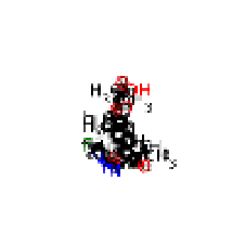 CC(C)C1=C2C3CC[C@@H]4C5(C)CC[C@H](OC(=O)CC(C)(C)C(=O)O)C(C)(C)[C@@H]5CC[C@@]4(C)[C@]3(C)CC[C@@]2(Cc2nnc(-c3ccc(F)cn3)o2)CC1=O